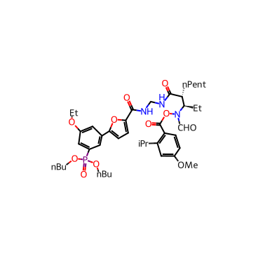 CCCCC[C@@H](C(=O)NCNC(=O)c1ccc(-c2cc(OCC)cc(P(=O)(OCCCC)OCCCC)c2)o1)[C@@H](CC)N(C=O)OC(=O)c1ccc(OC)cc1C(C)C